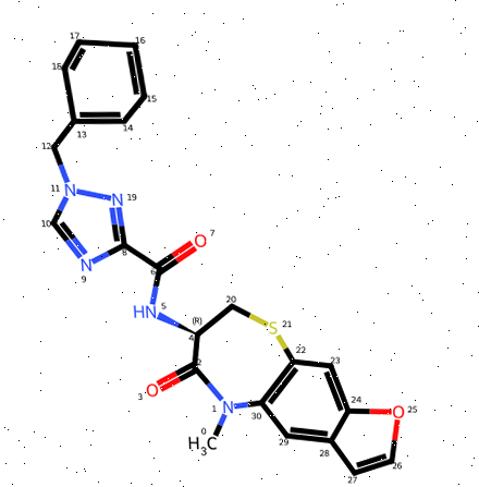 CN1C(=O)[C@@H](NC(=O)c2ncn(Cc3ccccc3)n2)CSc2cc3occc3cc21